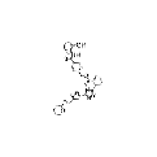 O=C(N[C@H]1CCC[C@@H]1O)c1ccc(COc2nn3c(-c4cc(COC5CCCCO5)on4)nnc3c3ccccc23)nc1